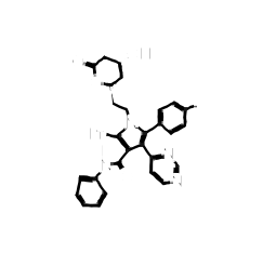 CC(C)c1c(C(=O)Nc2ccccc2)c(-c2ccncn2)c(-c2ccc(F)cc2)n1CC[C@@H]1C[C@@H](O)CC(=O)O1